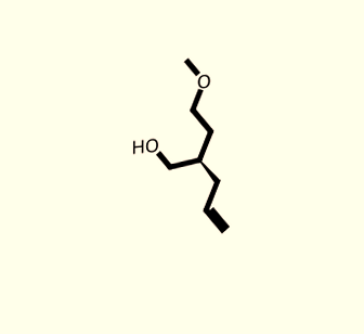 C=CC[C@@H](CO)CCOC